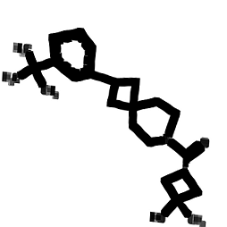 CC(C)(C)c1cccc(C2CC3(CCN(C(=O)[C@H]4C[C@@](C)(O)C4)CC3)C2)c1